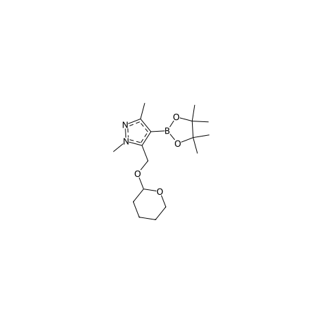 Cc1nn(C)c(COC2CCCCO2)c1B1OC(C)(C)C(C)(C)O1